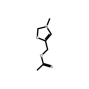 CC(=S)OCC1=CN(C)CO1